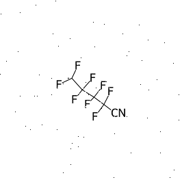 N#CC(F)(F)C(F)(F)C(F)(F)[C](F)F